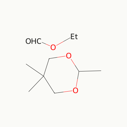 CC1OCC(C)(C)CO1.CCOC=O